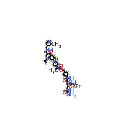 Cc1cc(CNCc2cn(C3CC3)c3cc(N4CCC(N(C)C(=O)OCc5ccc(NC(=O)[C@H](CCCNC(N)=O)NC(=O)CC(C)C)cc5)CC4)c(F)cc3c2=O)ccn1